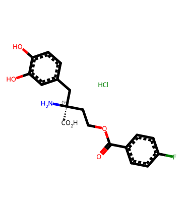 Cl.N[C@](CCOC(=O)c1ccc(F)cc1)(Cc1ccc(O)c(O)c1)C(=O)O